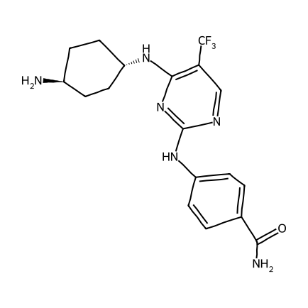 NC(=O)c1ccc(Nc2ncc(C(F)(F)F)c(N[C@H]3CC[C@H](N)CC3)n2)cc1